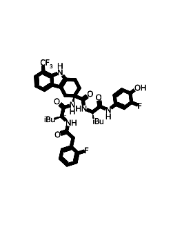 CCC(C)[C@H](NC(=O)Cc1ccccc1F)C(=O)N[C@]1(C(=O)N[C@H](C(=O)NC2=CC(F)C(O)C=C2)C(C)CC)CCc2[nH]c3c(C(F)(F)F)cccc3c2C1